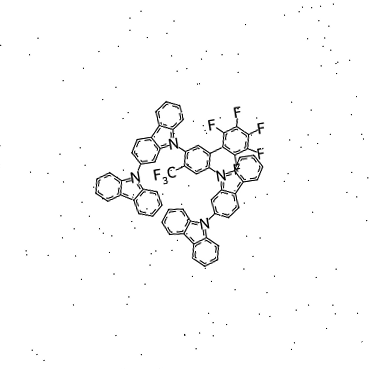 Fc1c(F)c(F)c(-c2cc(-n3c4ccccc4c4ccc(-n5c6ccccc6c6ccccc65)cc43)c(C(F)(F)F)cc2-n2c3ccccc3c3ccc(-n4c5ccccc5c5ccccc54)cc32)c(F)c1F